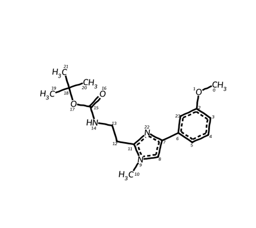 COc1cccc(-c2cn(C)c(CCNC(=O)OC(C)(C)C)n2)c1